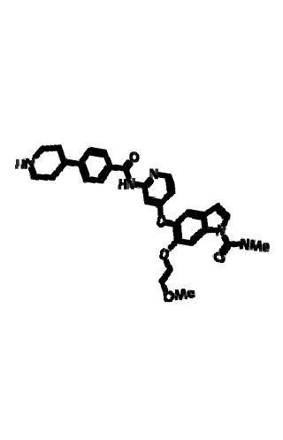 CNC(=O)n1ccc2cc(Oc3ccnc(NC(=O)c4ccc(C5CCNCC5)cc4)c3)c(OCCOC)cc21